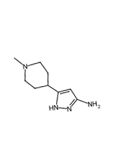 CN1CCC(c2cc(N)n[nH]2)CC1